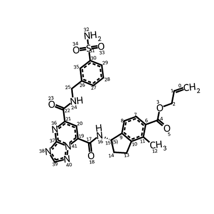 C=CCOC(=O)c1ccc2c(c1C)CC[C@@H]2NC(=O)c1cc(C(=O)NCc2cccc(S(N)(=O)=O)c2)nc2ncnn12